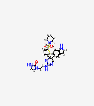 O=C1NCCN1CCNc1ncc(-c2ccc3[nH]ccc3c2)c(-c2ccc(S(=O)(=O)N3CCCCC3)s2)n1